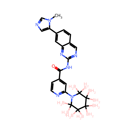 BC1(B)N(c2cc(C(=O)Nc3ncc4ccc(-c5cncn5C)cc4n3)ccn2)C(B)(B)C(B)(B)C(B)(B)C1(B)B